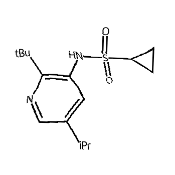 CC(C)c1cnc(C(C)(C)C)c(NS(=O)(=O)C2CC2)c1